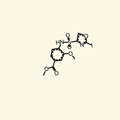 COC(=O)c1ccc(NS(=O)(=O)c2coc(I)n2)c(OC)c1